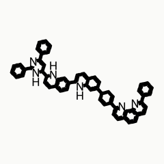 C1=CC(C2=CC3NC(c4ccc5c(c4)NC(C4C=C(c6ccccc6)N=C(c6ccccc6)N4)C=C5)=CC=C3C=C2)CC=C1c1ccc2ccc3ccc(-c4ccccc4)nc3c2n1